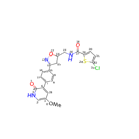 COc1c[nH]c(=O)c(-c2ccc(C3=NOC(CNC(=O)c4ccc(Cl)s4)C3)cc2)c1